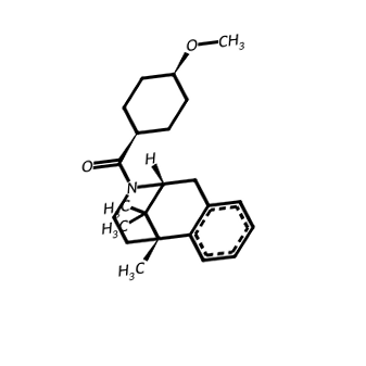 CO[C@H]1CC[C@@H](C(=O)N2CC[C@@]3(C)c4ccccc4C[C@@H]2C3(C)C)CC1